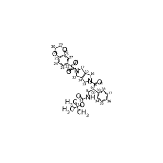 CC(C)(C)OC(=O)NC[C@@H](C(=O)N1CC2=C(C1)CN(S(=O)(=O)c1ccc3c(c1)OCCO3)C2)c1ccccc1